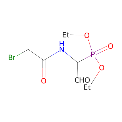 CCOP(=O)(OCC)C(C=O)NC(=O)CBr